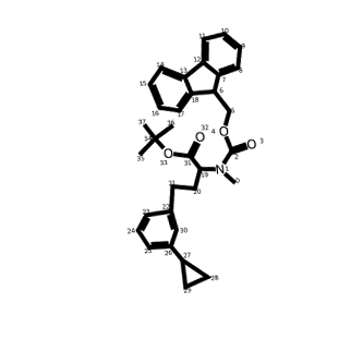 CN(C(=O)OCC1c2ccccc2-c2ccccc21)C(CCc1cccc(C2CC2)c1)C(=O)OC(C)(C)C